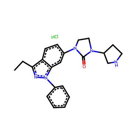 CCc1nn(-c2ccccc2)c2cc(N3CCN(C4CCNC4)C3=O)ccc12.Cl